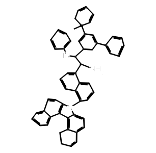 CC1(C2=CC(C(Nc3ccccc3)C(N)c3cccc4c(-n5c6ccc7c(c6c6c8ccccc8ccc65)CCC=C7)cccc34)CC(c3ccccc3)=C2)C=CC=CC1